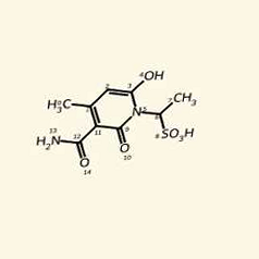 Cc1cc(O)n(C(C)S(=O)(=O)O)c(=O)c1C(N)=O